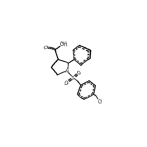 O=C(O)C1CCN(S(=O)(=O)c2ccc(Cl)cc2)C1c1ccccc1